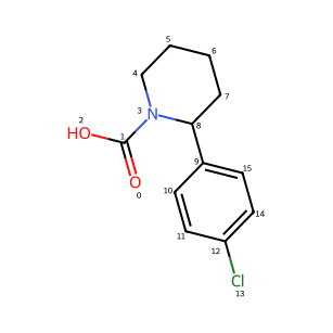 O=C(O)N1CCCCC1c1ccc(Cl)cc1